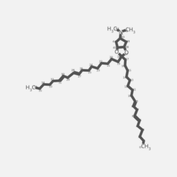 CCCCCC=CCC=CCCCCCCCCC1(CCCCCCCCC=CCC=CCCCCC)OC2CC(N(C)C)CC2O1